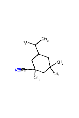 CC(C)C1CC(C)(C)CC(C)(C#N)C1